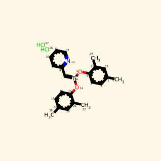 Cc1ccc([O][Ti](=[CH]c2ccccn2)[O]c2ccc(C)cc2C)c(C)c1.Cl.Cl